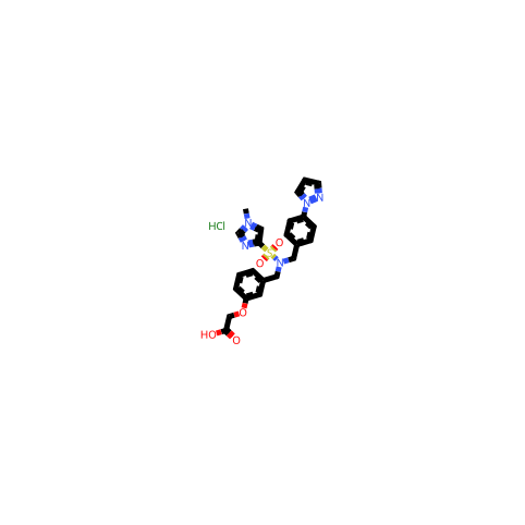 Cl.Cn1cnc(S(=O)(=O)N(Cc2ccc(-n3cccn3)cc2)Cc2cccc(OCC(=O)O)c2)c1